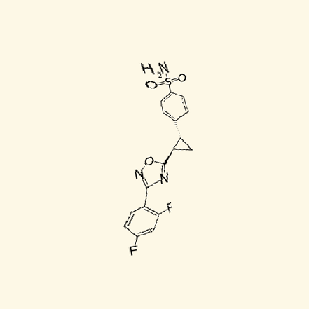 NS(=O)(=O)c1ccc([C@@H]2C[C@H]2c2nc(-c3ccc(F)cc3F)no2)cc1